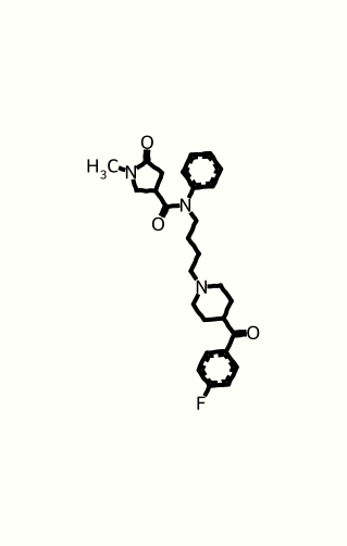 CN1CC(C(=O)N(CCCCN2CCC(C(=O)c3ccc(F)cc3)CC2)c2ccccc2)CC1=O